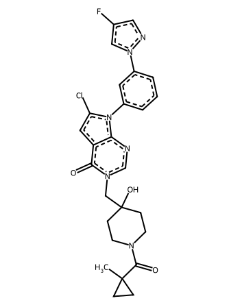 CC1(C(=O)N2CCC(O)(Cn3cnc4c(cc(Cl)n4-c4cccc(-n5cc(F)cn5)c4)c3=O)CC2)CC1